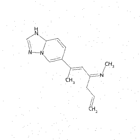 C=CCC(/C=C(\C)C1=CN2N=CNC2C=C1)=N/C